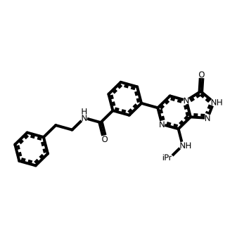 CC(C)Nc1nc(-c2cccc(C(=O)NCCc3ccccc3)c2)cn2c(=O)[nH]nc12